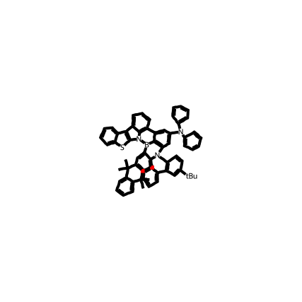 CC(C)(C)c1ccc(N2c3cc4c(cc3B3c5c(cc(N(c6ccccc6)c6ccccc6)cc52)-c2cccc5c6c7ccccc7sc6n3c25)C(C)(C)c2ccccc2C4(C)C)c(-c2ccccc2)c1